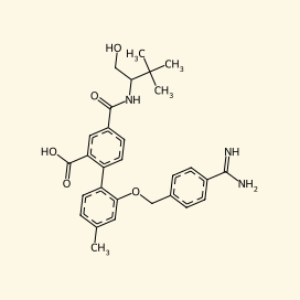 Cc1ccc(-c2ccc(C(=O)NC(CO)C(C)(C)C)cc2C(=O)O)c(OCc2ccc(C(=N)N)cc2)c1